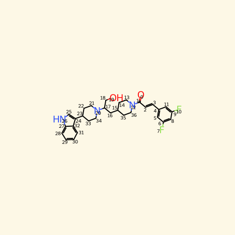 O=C(C=Cc1cc(F)cc(F)c1)N1CCC(CC(CO)N2CCC(c3c[nH]c4ccccc34)CC2)CC1